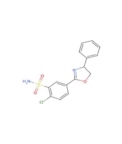 NS(=O)(=O)c1cc(C2=NC(c3ccccc3)CO2)ccc1Cl